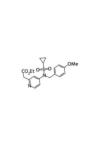 CCOC(=O)Cc1cc(N(Cc2ccc(OC)cc2)S(=O)(=O)C2CC2)ccn1